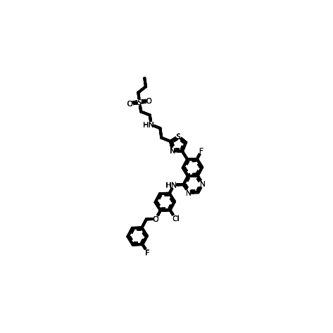 CCCS(=O)(=O)CCNCCc1nc(-c2cc3c(Nc4ccc(OCc5cccc(F)c5)c(Cl)c4)ncnc3cc2F)cs1